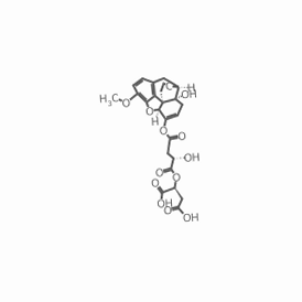 COc1ccc2c3c1O[C@@H]1C(OC(=O)C[C@H](O)C(=O)O[C@@H](CC(=O)O)C(=O)O)=CC[C@]4(O)[C@@H](CCC[C@@]314)C2